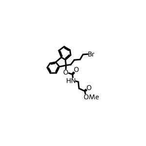 COC(=O)CCNC(=O)OC1(CCCCBr)c2ccccc2-c2ccccc21